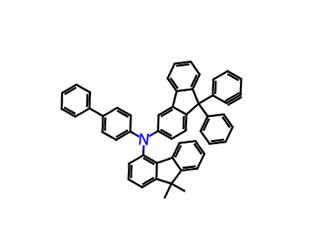 CC1(C)c2ccccc2-c2c(N(c3ccc(-c4ccccc4)cc3)c3ccc4c(c3)-c3ccccc3C4(c3c#cccc3)c3ccccc3)cccc21